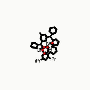 Cc1cc(C(c2ccccc2)c2ccccc2)c(-n2cc3cccc(-c4c(C(C)C)cc(C(C)C)cc4C(C)C)n3[c]2=[Pd][Cl])c(C(c2ccccc2)c2ccccc2)c1